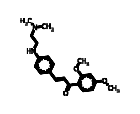 COc1ccc(C(=O)C=Cc2ccc(NCCN(C)C)cc2)c(OC)c1